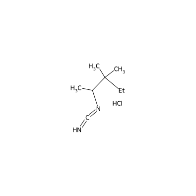 CCC(C)(C)C(C)N=C=N.Cl